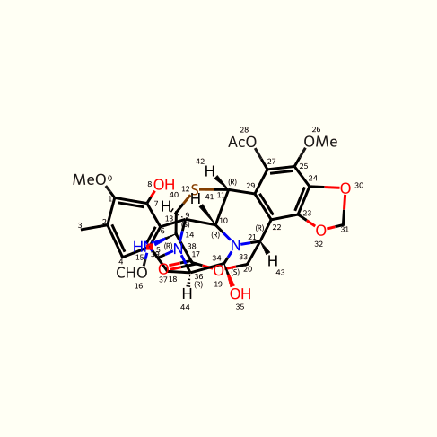 COc1c(C)cc2c(c1O)[C@H]1[C@@H]3[C@@H]4SC[C@H](NC=O)C(=O)OC[C@@H](c5c6c(c(OC)c(OC(C)=O)c54)OCO6)N3[C@@H](O)[C@@H](C2)N1C